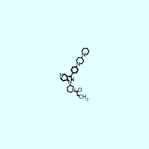 C=CC(=O)N1CCCC(n2nc(-c3ccc(N4CCC(N5CCCCC5)CC4)cc3)c3cnccc32)C1